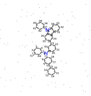 Cc1cccc(N(c2ccc(-c3ccccc3)cc2)c2cccc(-c3ccc4c(c3)c3ccccc3n4-c3ccccc3)c2)c1